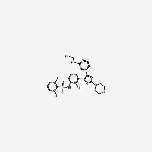 CC(C)CNc1nccc(-c2sc(N3CCOCC3)nc2-c2cccc(NS(=O)(=O)c3c(F)cccc3F)c2Cl)n1